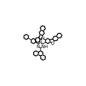 c1ccc(-c2ccc(C3=NC(c4cc5ccccc5c5ccccc45)NC(c4cc5oc6cc7ccccc7cc6c5cc4-n4c5ccccc5c5cc6ccccc6cc54)N3)cc2)cc1